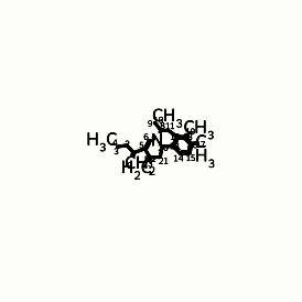 C=C(CCC)C1=CN2C(CC)Cc3c(ccc(C)c3C)C2CC1=C